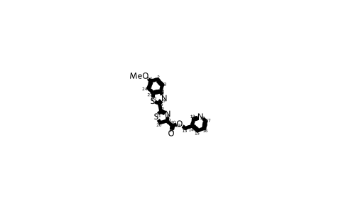 COc1ccc2nc(C3=NC(C(=O)OCc4cccnc4)CS3)sc2c1